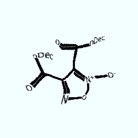 CCCCCCCCCCC(=O)c1no[n+]([O-])c1C(=O)CCCCCCCCCC